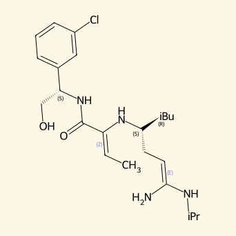 C/C=C(\N[C@@H](C/C=C(\N)NC(C)C)[C@H](C)CC)C(=O)N[C@H](CO)c1cccc(Cl)c1